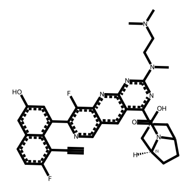 C#Cc1c(F)ccc2cc(O)cc(-c3ncc4cc5c(N6CC7CC[C@@H](C6)N7C(=O)O)nc(N(C)CCN(C)C)nc5nc4c3F)c12